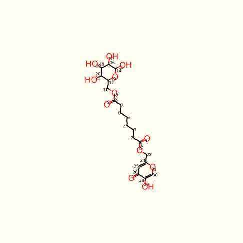 O=C(CCCCCCC(=O)OCC1OC(O)C(O)C(O)C1O)OCc1cc(=O)c(O)co1